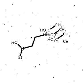 CC(=O)O.CC(=O)O.CC(=O)O.CCN(O)CCN.[Ce]